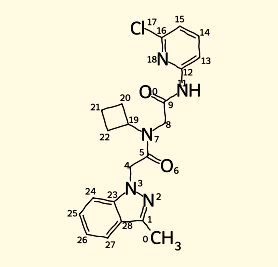 Cc1nn(CC(=O)N(CC(=O)Nc2cccc(Cl)n2)C2CCC2)c2ccccc12